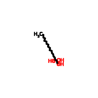 CCCCCCCCCCCCCCCC[C@H](O)C(O)CO